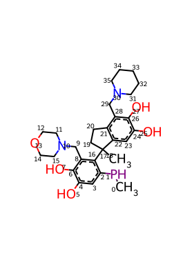 CPc1cc(O)c(O)c(CN2CCOCC2)c1C1(C)CCc2c1cc(O)c(O)c2CN1CCCCC1